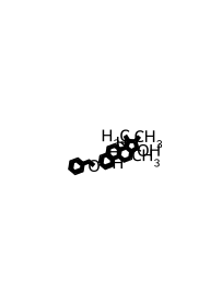 CC1C(C)[C@H]2[C@@H]3CCc4cc(OCc5ccccc5)ccc4[C@H]3CC[C@]2(C)[C@H]1O